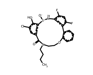 CCCCN1CCOc2ccccc2-c2cc(c(F)cc2F)N[S+]([O-])c2cc(cc(Cl)c2O)C1=O